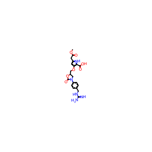 COC(=O)Cc1cc(OCC2CN(c3ccc(CNC(=N)N)cc3)C(=O)O2)c(C(=O)O)[nH]1